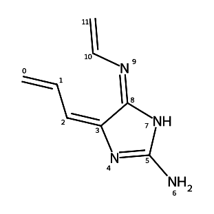 C=C/C=C1/N=C(N)N/C1=N/C=C